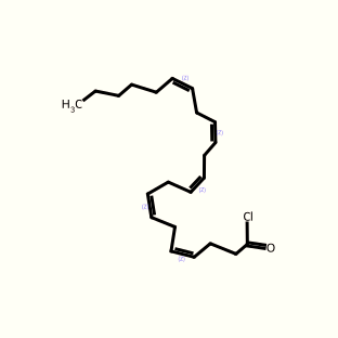 CCCCC/C=C\C/C=C\C/C=C\C/C=C\C/C=C\CCC(=O)Cl